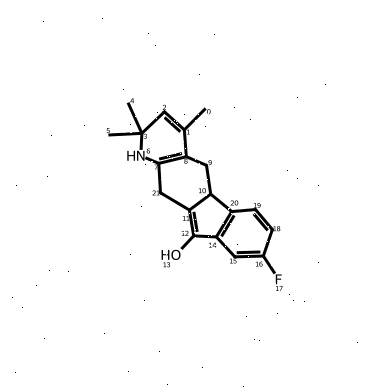 CC1=CC(C)(C)NC2=C1CC1C(=C(O)c3cc(F)ccc31)C2